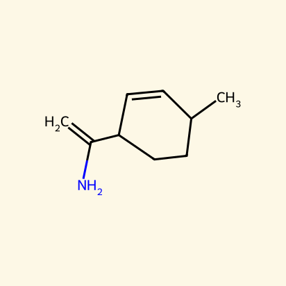 C=C(N)C1C=CC(C)CC1